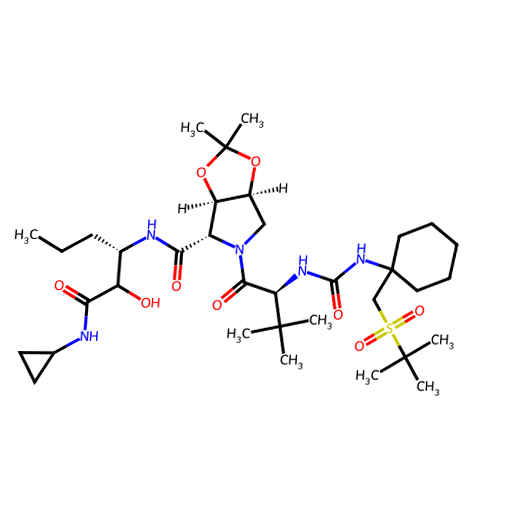 CCC[C@H](NC(=O)[C@@H]1[C@H]2OC(C)(C)O[C@H]2CN1C(=O)[C@@H](NC(=O)NC1(CS(=O)(=O)C(C)(C)C)CCCCC1)C(C)(C)C)C(O)C(=O)NC1CC1